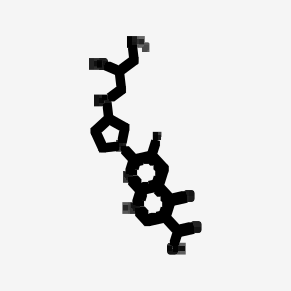 NCC(O)CNC1CCN(c2nc3[nH]cc(C(=O)O)c(=O)c3cc2F)C1